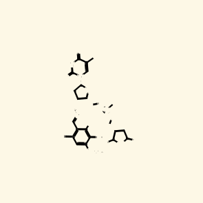 COc1cc(Cl)c(/C=N/O[C@@H]2C[C@H](n3cc(C)c(=O)[nH]c3=O)O[C@@H]2COP(C)(=O)OC[C@@H]2CC(O)OC2O)c(Cl)c1O